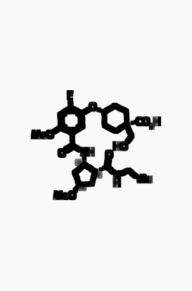 COc1cc(F)c(O[C@H]2CC[C@@](CO)(C(=O)O)CC2)cc1C(=O)N[C@H]1C[C@H](OC)C[C@H]1C(=O)NCC(C)(C)C